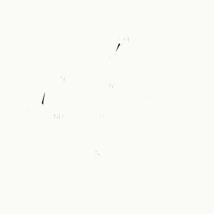 CN1CCC[C@H](CNC(=O)[C@H]2CCCN2C(=O)[C@@H]2C[C@@H](O)CN2C(=O)CC(c2ccccc2)(c2ccccc2)c2ccccc2)C1